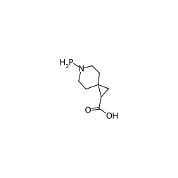 O=C(O)C1CC12CCN(P)CC2